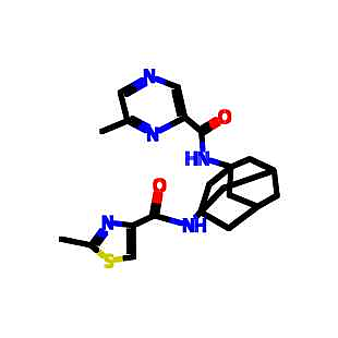 Cc1cncc(C(=O)NC23CC4CC(C2)CC(NC(=O)c2csc(C)n2)(C4)C3)n1